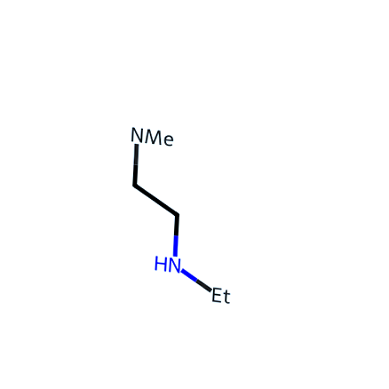 [CH2]CNCCN[CH2]